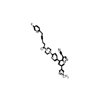 Cn1cc(-c2cc(-c3ccc(N4CCN(C(=O)CCC#CCc5ccc(F)cn5)CC4)nc3)c3c(C#N)cnn3c2)cn1